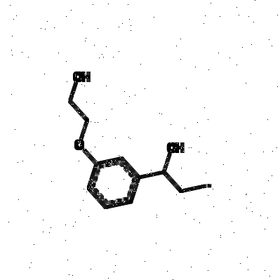 [CH2]CC(O)c1cccc(OCCO)c1